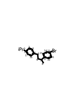 CC(C)c1ccc(CCC(C)c2ccc(Br)cc2)cc1